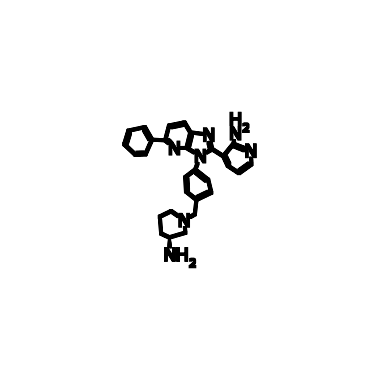 Nc1ncccc1-c1nc2ccc(-c3ccccc3)nc2n1-c1ccc(CN2CCC[C@H](N)C2)cc1